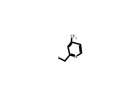 FC(F)(F)c1ccnc(CI)c1